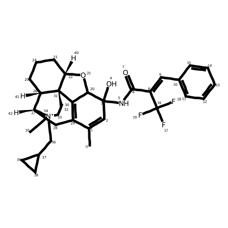 CC1=CC(O)(NC(=O)C(=Cc2ccccc2)C(F)(F)F)C2O[C@H]3CCC[C@H]4[C@H]5CC1=C2[C@@]34CC[N+]5(C)CC1CC1